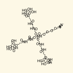 CC(=O)NC1C(OCCCCC(=O)NCCCNC(=O)CCOCC(COCCC(=O)NCCCNC(=O)CCCCOC2OC(CO)[C@H](O)C(O)C2NC(C)=O)(COCCC(=O)NCCCNC(=O)CCCCOC2OC(CO)CC(O)(CO)C2NC(C)=O)NC(=O)CCOCCOCCOCCOCCN=[N+]=[N-])OC(CO)[C@H](O)C1O